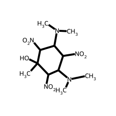 CN(C)C1C([N+](=O)[O-])C(N(C)C)C([N+](=O)[O-])C(C)(O)C1[N+](=O)[O-]